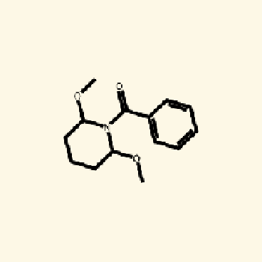 COC1CCCC(OC)N1C(=O)c1ccccc1